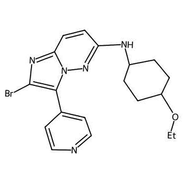 CCOC1CCC(Nc2ccc3nc(Br)c(-c4ccncc4)n3n2)CC1